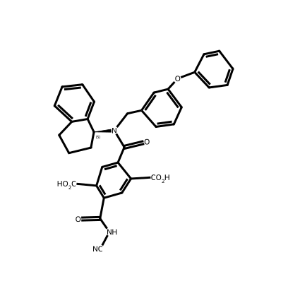 N#CNC(=O)c1cc(C(=O)O)c(C(=O)N(Cc2cccc(Oc3ccccc3)c2)[C@H]2CCCc3ccccc32)cc1C(=O)O